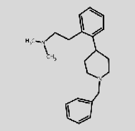 CN(C)CCc1ccccc1C1CCN(Cc2ccccc2)CC1